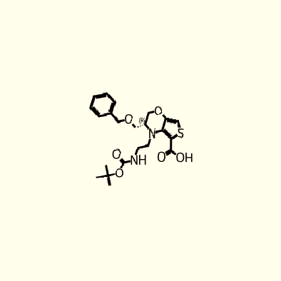 CC(C)(C)OC(=O)NCCN1c2c(csc2C(=O)O)OC[C@H]1COCc1ccccc1